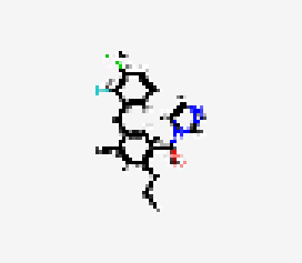 CCCc1cc(C)c(Cc2cccc(Cl)c2F)cc1C(=O)n1ccnc1